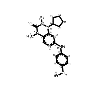 CCN1C(=O)N(C)c2cnc(Nc3ccc(OC(C)C)cc3)nc2N1C1CCCC1